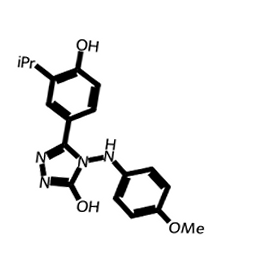 COc1ccc(Nn2c(O)nnc2-c2ccc(O)c(C(C)C)c2)cc1